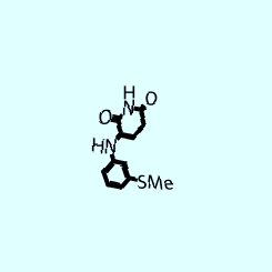 CSc1cccc(NC2CCC(=O)NC2=O)c1